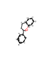 [C]1CC(c2ccccc2)Oc2ccccc21